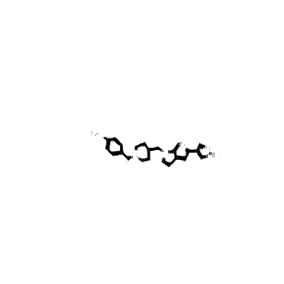 N#Cc1ccc(C(=O)N2CCC(Cn3ccc4cc(-c5cn[nH]c5)ncc43)CC2)cc1